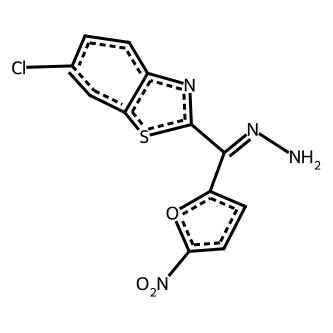 NN=C(c1ccc([N+](=O)[O-])o1)c1nc2ccc(Cl)cc2s1